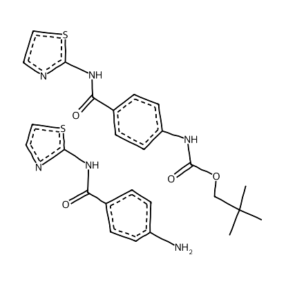 CC(C)(C)COC(=O)Nc1ccc(C(=O)Nc2nccs2)cc1.Nc1ccc(C(=O)Nc2nccs2)cc1